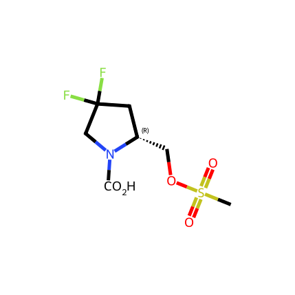 CS(=O)(=O)OC[C@H]1CC(F)(F)CN1C(=O)O